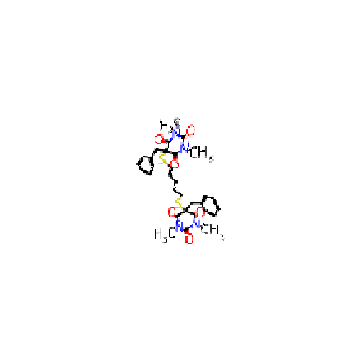 CN1C(=O)N(C)C(=O)C(Cc2ccccc2)(SCCCCCSC2(Cc3ccccc3)C(=O)N(C)C(=O)N(C)C2=O)C1=O